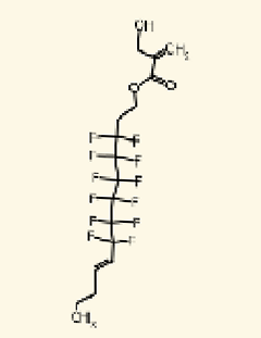 C=C(CO)C(=O)OCCC(F)(F)C(F)(F)C(F)(F)C(F)(F)C(F)(F)C(F)(F)/C=C/CCC